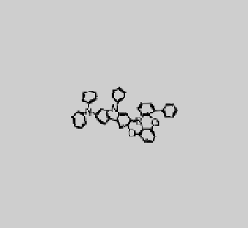 c1ccc(-c2cccc3c2Oc2cccc4c2B3c2cc3c(cc2O4)c2ccc(N(c4ccccc4)c4ccccc4)cc2n3-c2ccccc2)cc1